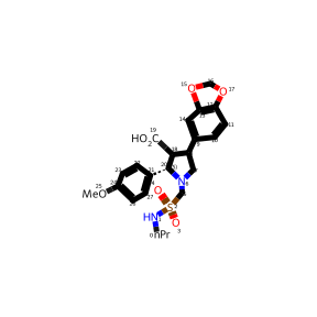 CCCNS(=O)(=O)CN1CC(c2ccc3c(c2)OCO3)C(C(=O)O)[C@H]1c1ccc(OC)cc1